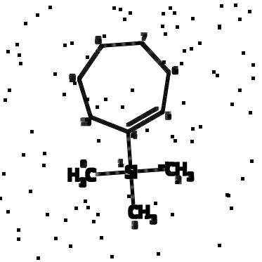 C[Si](C)(C)C1=CCCCCC1